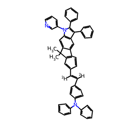 [2H]/C(=C(/[2H])c1ccc2c(c1)C(C)(C)c1cc3c(cc1-2)c(-c1ccccc1)c(-c1ccccc1)n3-c1cccnc1)c1ccc(N(c2ccccc2)c2ccccc2)cc1